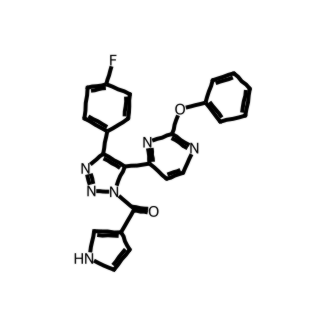 O=C(c1cc[nH]c1)n1nnc(-c2ccc(F)cc2)c1-c1ccnc(Oc2ccccc2)n1